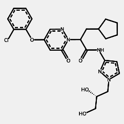 O=C(Nc1ccn(C[C@@H](O)CO)n1)C(CC1CCCC1)n1ncc(Oc2ccccc2Cl)cc1=O